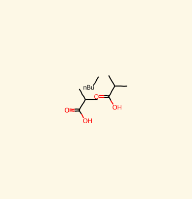 CC(C)C(=O)O.CC(C)C(=O)O.CCCCC